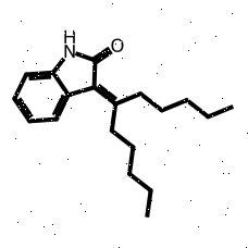 CCCCCC(CCCCC)=C1C(=O)Nc2ccccc21